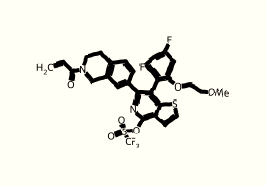 C=CC(=O)N1CCc2ccc(-c3nc(OS(=O)(=O)C(F)(F)F)c4ccsc4c3-c3c(F)cc(F)cc3OCCOC)cc2C1